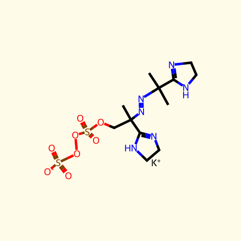 CC(C)(N=NC(C)(COS(=O)(=O)OOS(=O)(=O)[O-])C1=NCCN1)C1=NCCN1.[K+]